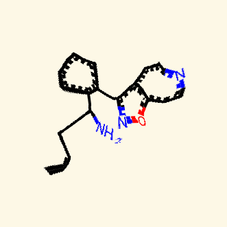 C=CCC(N)c1ccccc1-c1noc2cnccc12